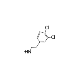 [NH]CCc1ccc(Cl)c(Cl)c1